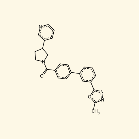 Cc1nnc(-c2cccc(-c3ccc(C(=O)N4CCC(c5cccnc5)C4)cc3)c2)o1